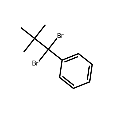 CC(C)(C)C(Br)(Br)c1ccccc1